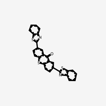 O=c1c2cc(-c3nc4ccccc4s3)ccc2sc2ccc(-c3nc4ccccc4s3)cc12